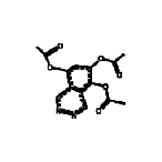 CC(=O)Oc1cc(OC(C)=O)c2cnncc2c1OC(C)=O